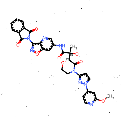 COc1cc(-n2ccc(N3CCO[C@H]([C@@](C)(O)C(=O)Nc4cnc5c(N6C(=O)c7ccccc7C6=O)noc5c4)C3=O)n2)ccn1